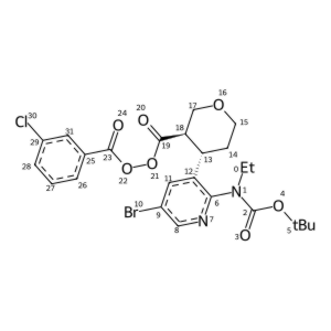 CCN(C(=O)OC(C)(C)C)c1ncc(Br)cc1[C@H]1CCOC[C@@H]1C(=O)OOC(=O)c1cccc(Cl)c1